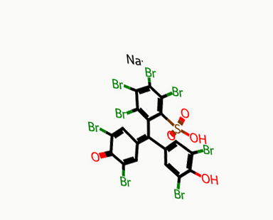 O=C1C(Br)=CC(=C(c2cc(Br)c(O)c(Br)c2)c2c(Br)c(Br)c(Br)c(Br)c2S(=O)(=O)O)C=C1Br.[Na]